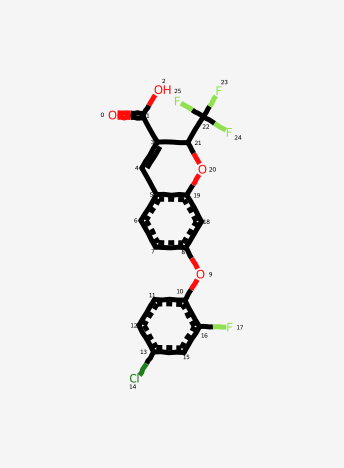 O=C(O)C1=Cc2ccc(Oc3ccc(Cl)cc3F)cc2OC1C(F)(F)F